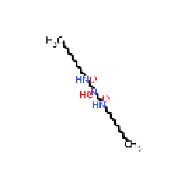 CCCCCCCCCCCCNC(=O)CCN(O)CCC(=O)NCCCCCCCCCCCC